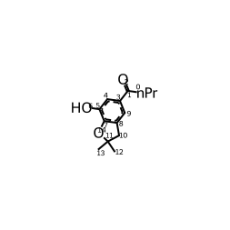 CCCC(=O)c1cc(O)c2c(c1)CC(C)(C)O2